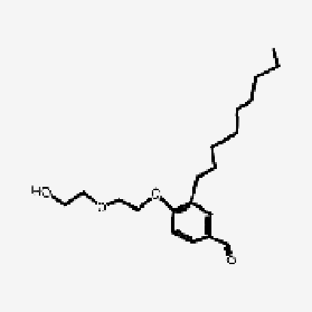 CCCCCCCCCc1cc(C=O)ccc1OCCOCCO